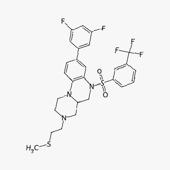 CSCCN1CCN2c3ccc(-c4cc(F)cc(F)c4)cc3N(S(=O)(=O)c3cccc(C(F)(F)F)c3)CC2C1